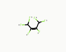 F/C(=C(\F)C(F)F)C(F)F